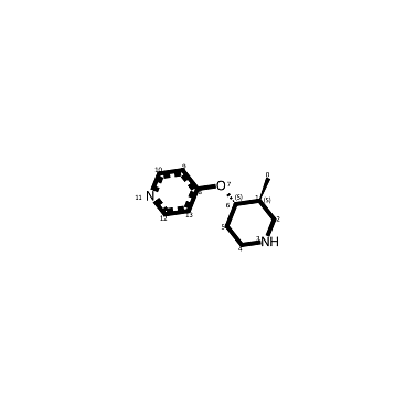 C[C@H]1CNCC[C@@H]1Oc1ccncc1